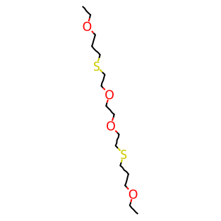 CCOCCCSCCOCCOCCSCCCOCC